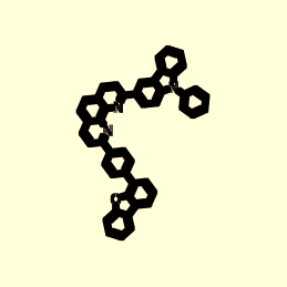 c1ccc(-n2c3ccccc3c3cc(-c4ccc5ccc6ccc(-c7ccc(-c8cccc9c8oc8ccccc89)cc7)nc6c5n4)ccc32)cc1